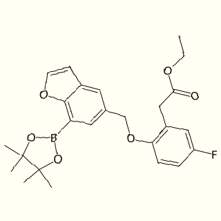 CCOC(=O)Cc1cc(F)ccc1OCc1cc(B2OC(C)(C)C(C)(C)O2)c2occc2c1